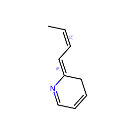 C/C=C\C=C1/CC=CC=N1